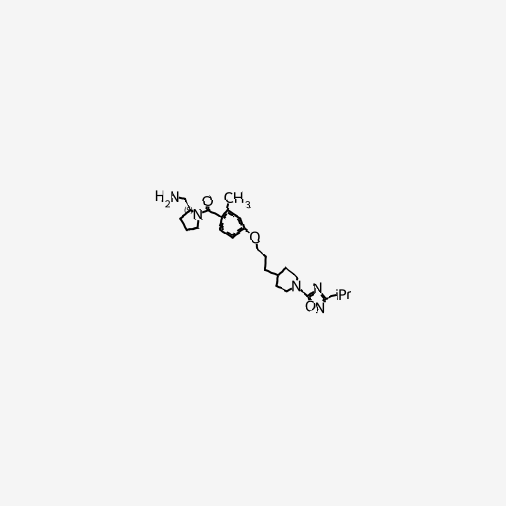 Cc1cc(OCCCC2CCN(c3nc(C(C)C)no3)CC2)ccc1C(=O)N1CCC[C@H]1CN